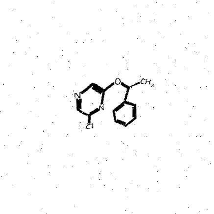 C[C@H](Oc1cncc(Cl)n1)c1ccccc1